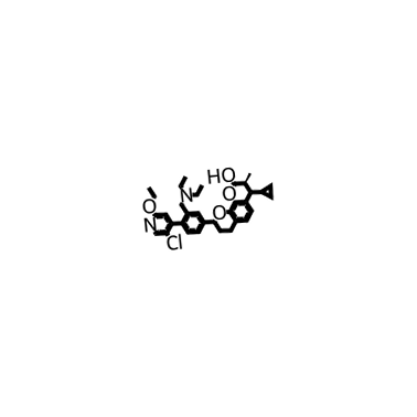 CCOc1cc(-c2ccc(C3CCc4ccc(C(C5CC5)[C@H](C)C(=O)O)cc4O3)cc2CN(CC)CC)c(Cl)cn1